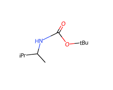 CC(C)C(C)NC(=O)OC(C)(C)C